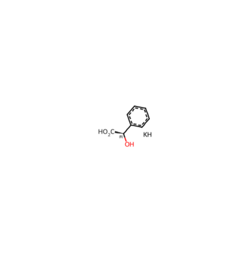 O=C(O)[C@H](O)c1ccccc1.[KH]